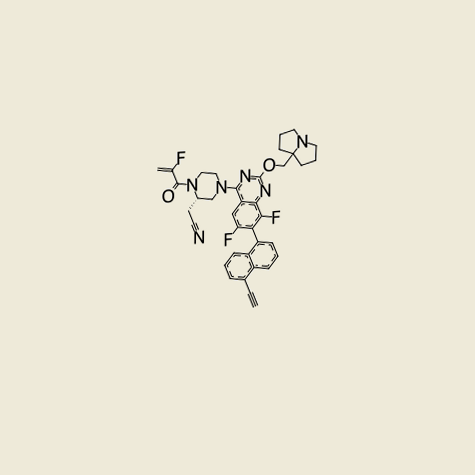 C#Cc1cccc2c(-c3c(F)cc4c(N5CCN(C(=O)C(=C)F)[C@@H](CC#N)C5)nc(OCC56CCCN5CCC6)nc4c3F)cccc12